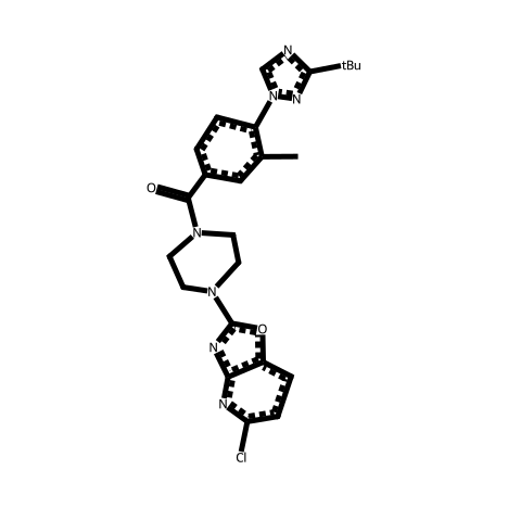 Cc1cc(C(=O)N2CCN(c3nc4nc(Cl)ccc4o3)CC2)ccc1-n1cnc(C(C)(C)C)n1